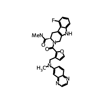 CNC(=O)[C@H]1Cc2c([nH]c3cccc(F)c23)CN1C(=O)c1occc1CN(C)c1ccc2nccnc2c1